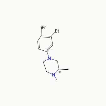 CCc1cc(N2CCN(C)[C@H](C)C2)ccc1C(C)C